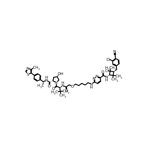 Cc1ncsc1-c1ccc([C@H](C)NC(=O)[C@@H]2C[C@@H](O)CN2C(=O)[C@@H](NC(=O)COCCCCCNc2ccc(C(=O)N[C@H]3C(C)(C)[C@H](Cc4ccc(C#N)c(Cl)c4)C3(C)C)nn2)C(C)(C)C)cc1